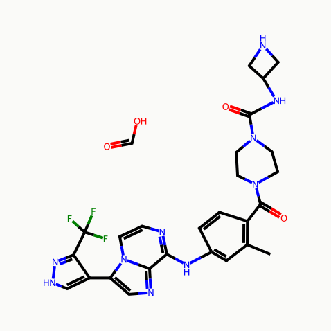 Cc1cc(Nc2nccn3c(-c4c[nH]nc4C(F)(F)F)cnc23)ccc1C(=O)N1CCN(C(=O)NC2CNC2)CC1.O=CO